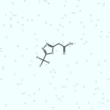 O=C(O)Cc1nnc(C(F)(F)F)o1